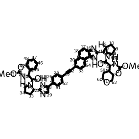 COC(=O)N[C@H](C(=O)N1[C@@H]2CC[C@H](C2)[C@H]1c1nc2ccc3cc(C#Cc4ccc(-c5cnc([C@@H]6CCCN6C(O)[C@H](NC(=O)OC)c6ccccc6)[nH]5)cc4)ccc3c2[nH]1)C1CCOCC1